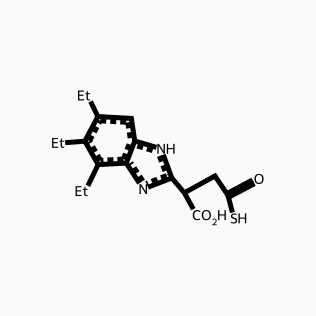 CCc1cc2[nH]c(C(CC(=O)S)C(=O)O)nc2c(CC)c1CC